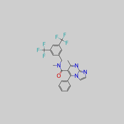 Cc1nc2nccn2c(-c2ccccc2)c1C(=O)N(C)Cc1cc(C(F)(F)F)cc(C(F)(F)F)c1